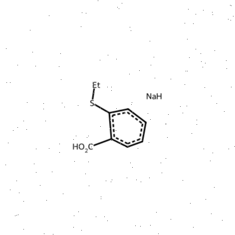 [CH2]CSc1ccccc1C(=O)O.[NaH]